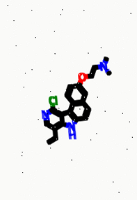 CCc1cnc(Cl)c2c1[nH]c1ccc3cc(OCCN(C)C)ccc3c12